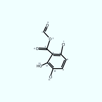 O=COC(=O)c1c(Cl)ccc(Cl)c1O